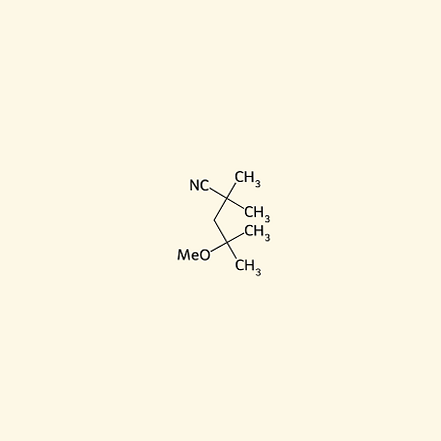 COC(C)(C)CC(C)(C)C#N